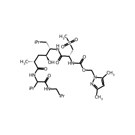 Cc1cc(C)n(COC(=O)N[C@@H](CS(C)(=O)=O)C(=O)N[C@@H](CC(C)C)[C@@H](O)C[C@@H](C)C(=O)NC(C(=O)NCC(C)C)C(C)C)n1